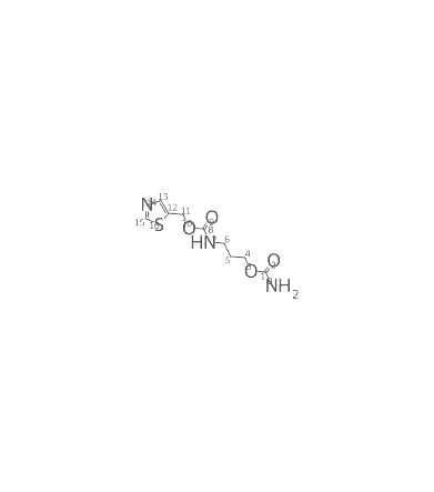 NC(=O)OCCCNC(=O)OCc1cncs1